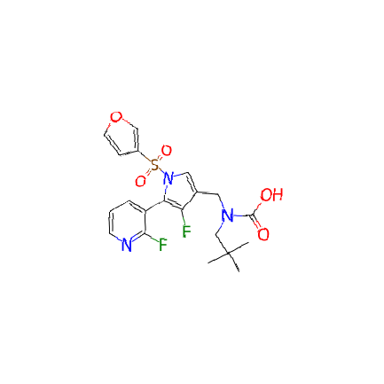 CC(C)(C)CN(Cc1cn(S(=O)(=O)c2ccoc2)c(-c2cccnc2F)c1F)C(=O)O